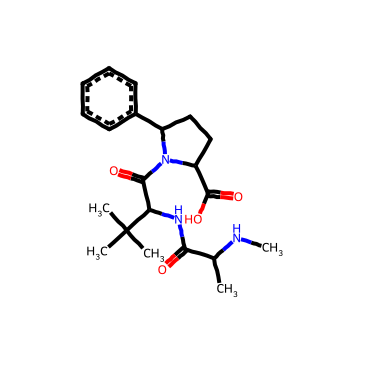 CNC(C)C(=O)NC(C(=O)N1C(C(=O)O)CCC1c1ccccc1)C(C)(C)C